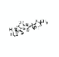 CN1CCc2nc(C(=O)N[C@H]3CCCC(C(=O)N(C)C)C3)sc2C1